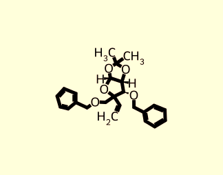 C=CC1(COCc2ccccc2)O[C@@H]2OC(C)(C)O[C@@H]2[C@@H]1OCc1ccccc1